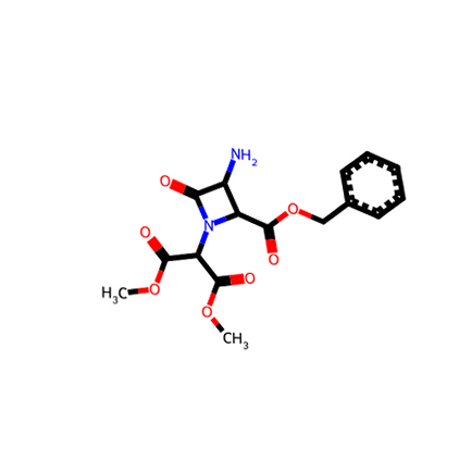 COC(=O)C(C(=O)OC)N1C(=O)C(N)C1C(=O)OCc1ccccc1